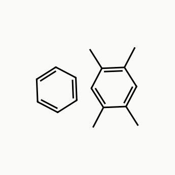 Cc1cc(C)c(C)cc1C.c1ccccc1